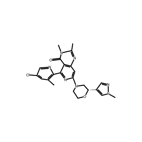 Cc1cc(Cl)cnc1-c1nc(N2CCO[C@@H](c3cnn(C)c3)C2)cc2nc(C)n(C)c(=O)c12